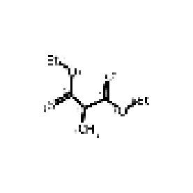 CCOC(=S)C(C)C(=S)OCC